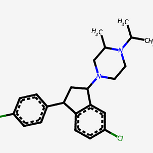 CC(C)N1CCN(C2CC(c3ccc(F)cc3)c3ccc(Cl)cc32)CC1C